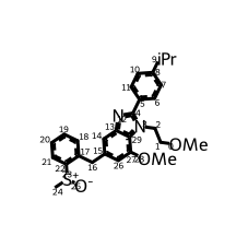 COCCn1c(-c2ccc(C(C)C)cc2)nc2cc(Cc3ccccc3[S+](C)[O-])cc(OC)c21